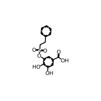 O=C(O)c1cc(O)c(O)c(OS(=O)(=O)CCc2ccccc2)c1